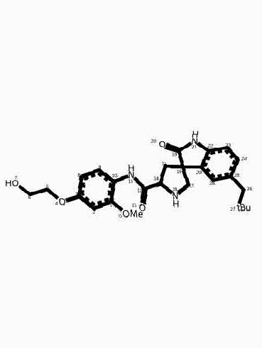 COc1cc(OCCO)ccc1NC(=O)C1CC2(CN1)C(=O)Nc1ccc(CC(C)(C)C)cc12